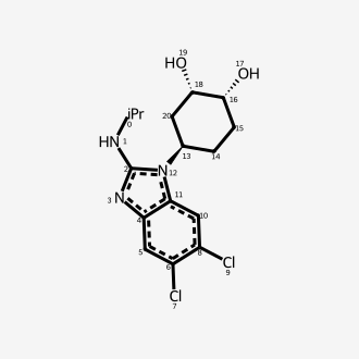 CC(C)Nc1nc2cc(Cl)c(Cl)cc2n1[C@@H]1CC[C@@H](O)[C@@H](O)C1